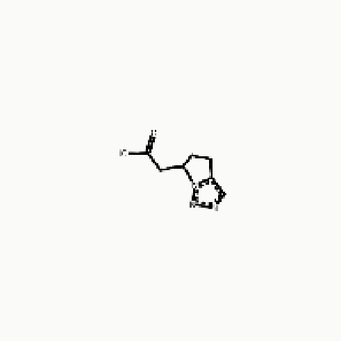 O=C(O)CC1CCc2cnnn21